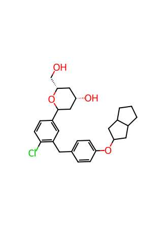 OC[C@@H]1C[C@H](O)CC(c2ccc(Cl)c(Cc3ccc(OC4CC5CCCC5C4)cc3)c2)O1